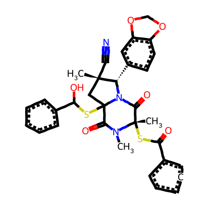 CN1C(=O)C2(SC(O)c3ccccc3)C[C@](C)(C#N)[C@H](c3ccc4c(c3)OCO4)N2C(=O)[C@]1(C)SC(=O)c1ccccc1